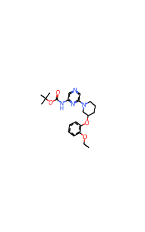 CCOc1ccccc1OC1CCCN(c2cncc(NC(=O)OC(C)(C)C)n2)C1